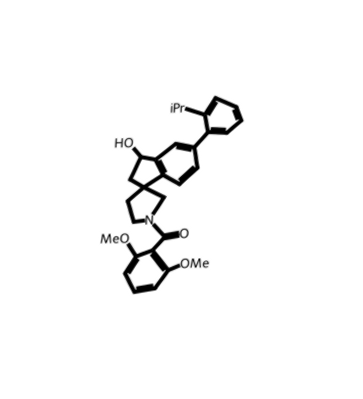 COc1cccc(OC)c1C(=O)N1CCC2(CC(O)c3cc(-c4ccccc4C(C)C)ccc32)C1